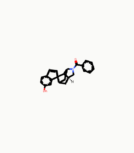 O=C(c1ccccc1)N1C[C@H]2CC3CC1C2C31C=Cc2ccc(O)cc21